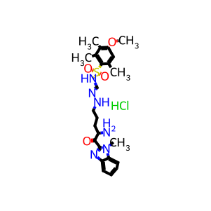 COc1cc(C)c(S(=O)(=O)NC=NNCCCC(N)C(=O)c2nc3ccccc3n2C)c(C)c1C.Cl